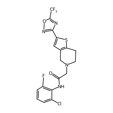 O=C(CN1CCc2sc(-c3noc(C(F)(F)F)n3)cc2C1)Nc1c(F)cccc1Cl